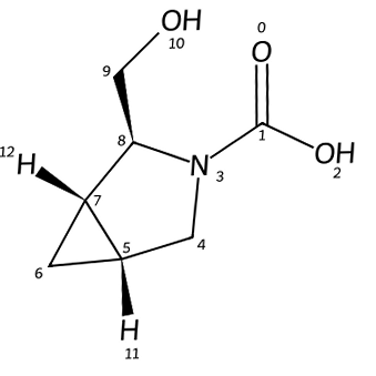 O=C(O)N1C[C@@H]2C[C@@H]2[C@H]1CO